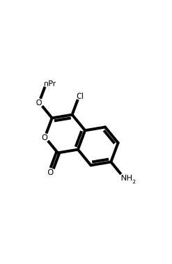 CCCOc1oc(=O)c2cc(N)ccc2c1Cl